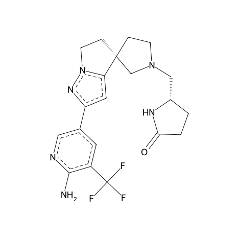 Nc1ncc(-c2cc3n(n2)CC[C@@]32CCN(C[C@@H]3CCC(=O)N3)C2)cc1C(F)(F)F